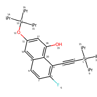 CC(C)[Si](C#Cc1c(F)ccc2cc(O[Si](C(C)C)(C(C)C)C(C)C)cc(O)c12)(C(C)C)C(C)C